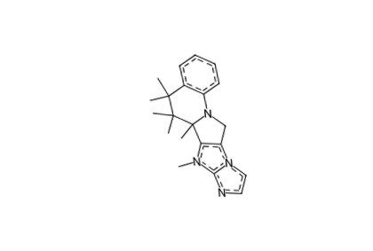 Cn1c2c(n3ccnc13)CN1c3ccccc3C(C)(C)C(C)(C)C21C